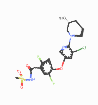 CO[C@@H]1CCCN(c2ncc(Oc3cc(F)c(C(=O)NS(C)(=O)=O)cc3F)cc2Cl)C1